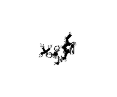 C=Cc1cc(CN(C)C(=O)OC(C)(C)C)ns1